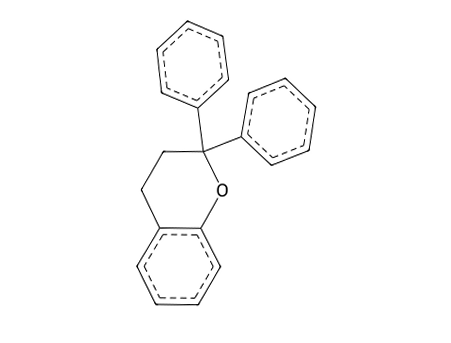 c1ccc(C2(c3ccccc3)CCc3ccccc3O2)cc1